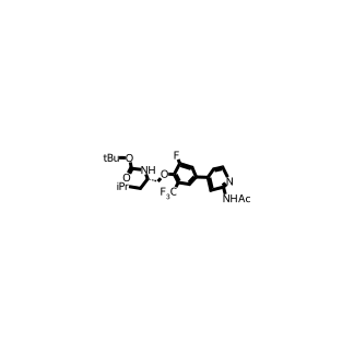 CC(=O)Nc1cc(-c2cc(F)c(OC[C@H](CC(C)C)NC(=O)OC(C)(C)C)c(C(F)(F)F)c2)ccn1